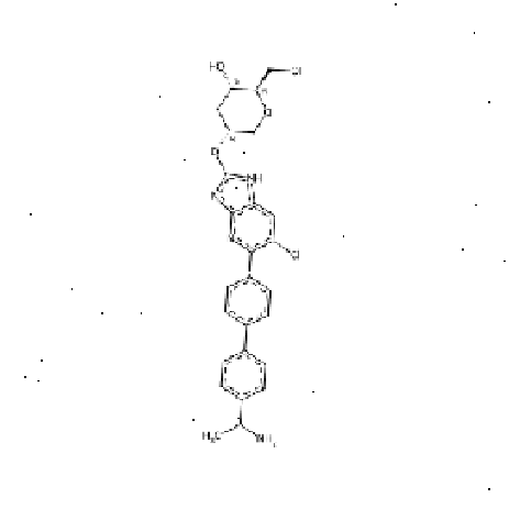 CC(N)c1ccc(-c2ccc(-c3nc4nc(O[C@H]5CO[C@H](CO)[C@@H](O)C5)[nH]c4cc3Cl)cc2)cc1